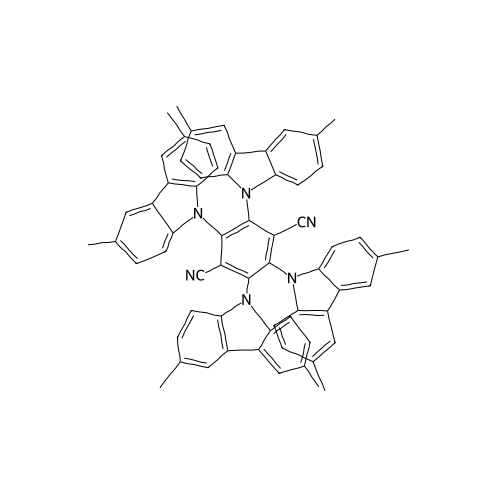 Cc1ccc2c(c1)c1cc(C)ccc1n2-c1c(C#N)c(-n2c3ccc(C)cc3c3cc(C)ccc32)c(-n2c3ccc(C)cc3c3cc(C)ccc32)c(C#N)c1-n1c2ccc(C)cc2c2cc(C)ccc21